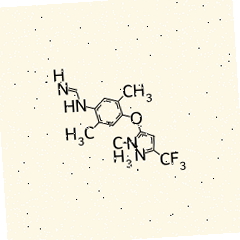 [H]/N=C/Nc1cc(C)c(Oc2cc(C(F)(F)F)nn2C)cc1C